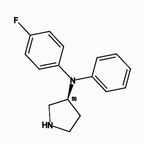 Fc1ccc(N(c2ccccc2)[C@H]2CCNC2)cc1